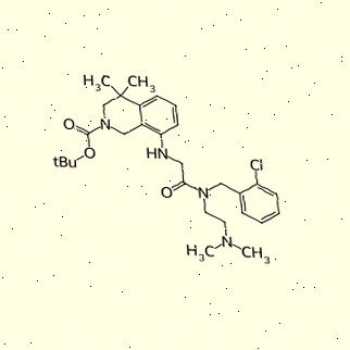 CN(C)CCN(Cc1ccccc1Cl)C(=O)CNc1cccc2c1CN(C(=O)OC(C)(C)C)CC2(C)C